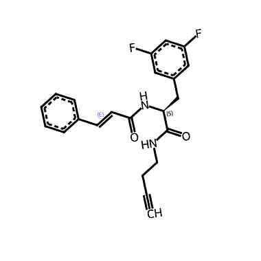 C#CCCNC(=O)[C@H](Cc1cc(F)cc(F)c1)NC(=O)/C=C/c1ccccc1